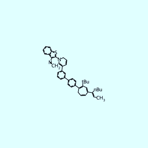 C=Nc1c(N2C=C(c3cccc(-c4ccc(C5=C(C(C)(C)C)C=C(/C(=C/C)CCCC)C=CC5)cc4)c3)C=CC2)sc2ccccc12